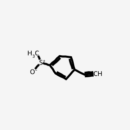 C#Cc1ccc([S+](C)[O-])cc1